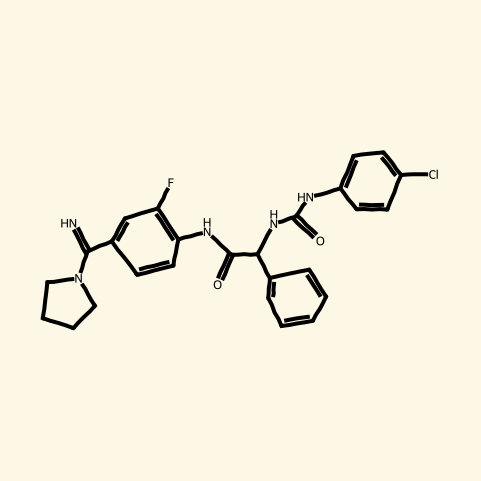 N=C(c1ccc(NC(=O)C(NC(=O)Nc2ccc(Cl)cc2)c2ccccc2)c(F)c1)N1CCCC1